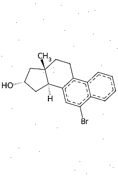 C[C@@]12CCc3c(cc(Br)c4ccccc34)[C@H]1C[C@H](O)C2